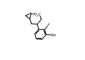 O=C(O)CC(CC1CC1)c1cccc(O)c1F